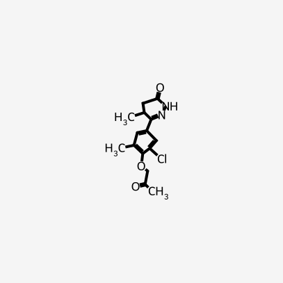 CC(=O)COc1c(C)cc(C2=NNC(=O)CC2C)cc1Cl